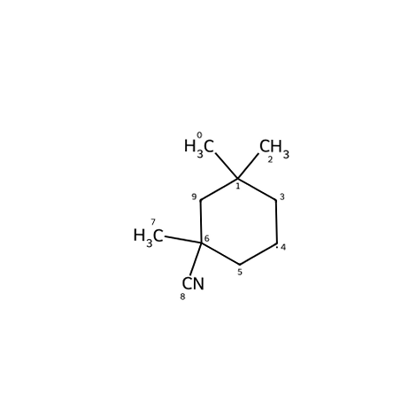 CC1(C)C[CH]CC(C)(C#N)C1